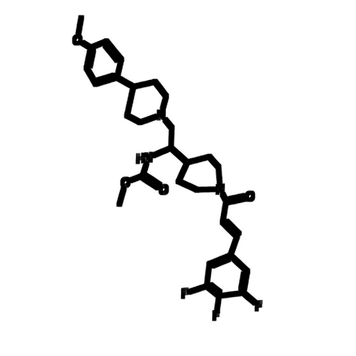 COC(=O)NC(CN1CCC(c2ccc(OC)cc2)CC1)C1CCN(C(=O)/C=C/c2cc(F)c(F)c(F)c2)CC1